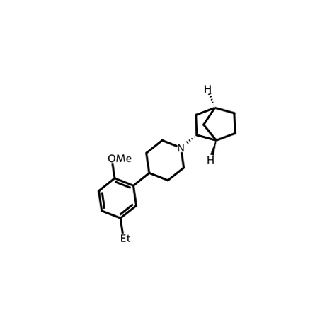 CCc1ccc(OC)c(C2CCN([C@@H]3C[C@H]4CC[C@H]3C4)CC2)c1